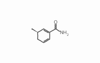 C[C@H]1C=C(C(N)=O)C=CC1